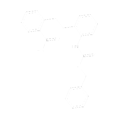 O=C(Nc1ccccc1CCc1ccccc1C(=O)O)OCc1ccccc1